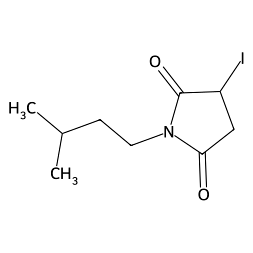 CC(C)CCN1C(=O)CC(I)C1=O